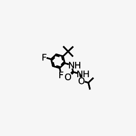 CC(C)ONC(=O)Nc1c(F)cc(F)cc1C(C)(C)C